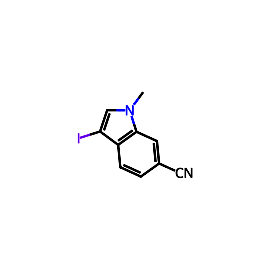 Cn1cc(I)c2ccc(C#N)cc21